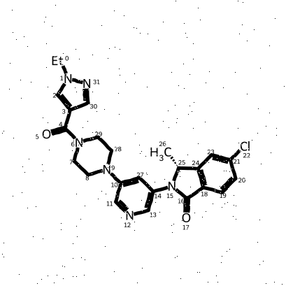 CCn1cc(C(=O)N2CCN(c3cncc(N4C(=O)c5ccc(Cl)cc5[C@H]4C)c3)CC2)cn1